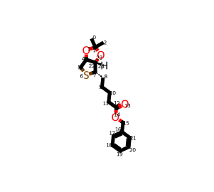 CC1(C)OC2CS[C@@H](CCCCC(=O)OCc3ccccc3)[C@H]2O1